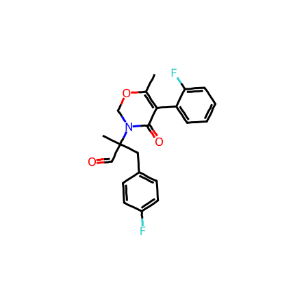 CC1=C(c2ccccc2F)C(=O)N(C(C)(C=O)Cc2ccc(F)cc2)CO1